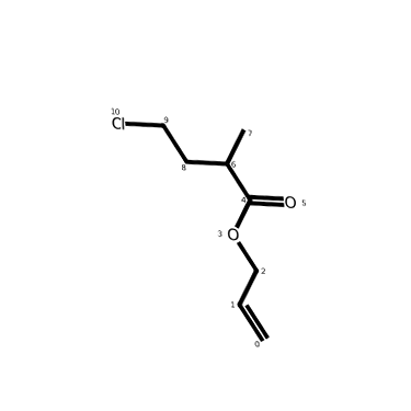 C=CCOC(=O)C(C)CCCl